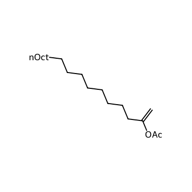 C=C(CCCCCCCCCCCCCCCC)OC(C)=O